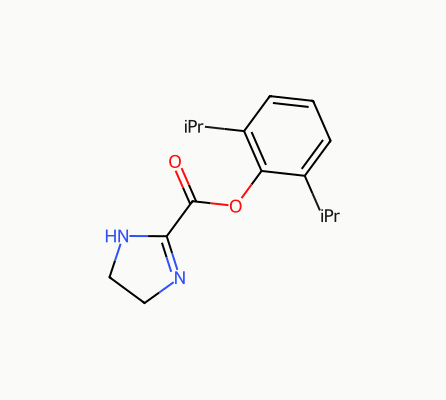 CC(C)c1cccc(C(C)C)c1OC(=O)C1=NCCN1